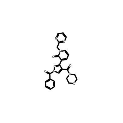 O=C(c1cn(C(=O)c2ccccc2)nc1-c1cccn(Cc2ncccn2)c1=O)N1CCOCC1